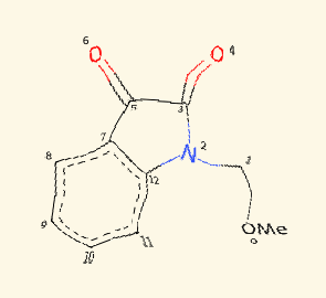 COCN1C(=O)C(=O)c2ccccc21